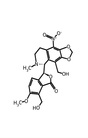 COc1ccc2c(c1CO)C(=O)O[C@@H]2[C@H]1c2c(CO)c3c(c([N+](=O)[O-])c2CCN1C)OCO3